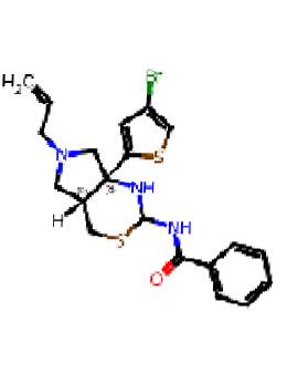 C=CCN1C[C@H]2CSC(NC(=O)c3ccccc3)N[C@@]2(c2cc(Br)cs2)C1